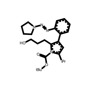 CC(C)c1cc(-c2ccccc2N=NN2CCCC2)c(CCCO)n1C(=O)OC(C)(C)C